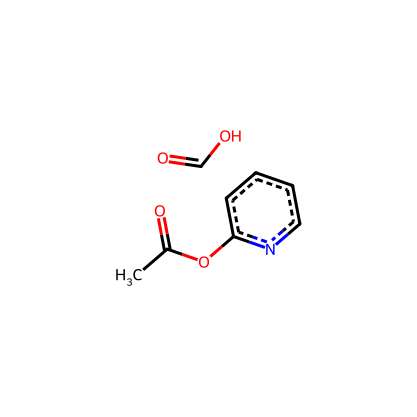 CC(=O)Oc1ccccn1.O=CO